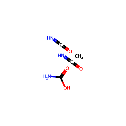 C.N=C=O.N=C=O.NC(=O)O